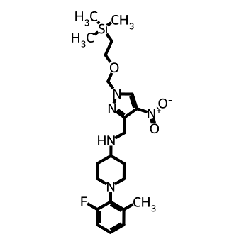 Cc1cccc(F)c1N1CCC(NCc2nn(COCC[Si](C)(C)C)cc2[N+](=O)[O-])CC1